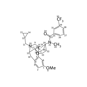 COc1ccc2c(c1)C13CCN(CC4CC4)C(C2)C12CCC(N(C)C(=O)c1cccc(C(F)(F)F)c1)(CCO2)C3